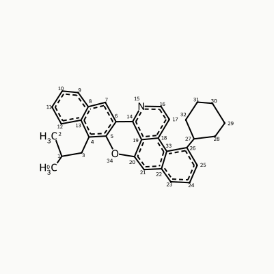 CC(C)Cc1c2c(cc3ccccc13)-c1nccc3c1c(cc1cccc(C4CCCCC4)c13)O2